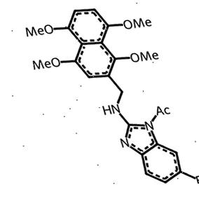 COc1ccc(OC)c2c(OC)c(CNc3nc4ccc(F)cc4n3C(C)=O)cc(OC)c12